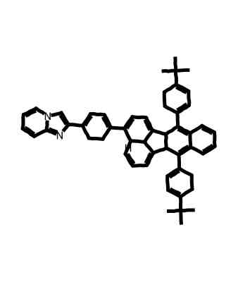 CC(C)(C)C1=CC=C(C2=c3ccccc3=C(C3=CC=C(C(C)(C)C)CC3)C3C4=CC=C(C5=CC=C(c6cn7ccccc7n6)CC5)[C@@H]5C=CC=C(C23)C45)CC1